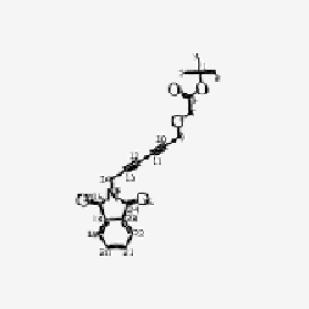 CC(C)(C)OC(=O)COCC#CC#CCN1C(=O)c2ccccc2C1=O